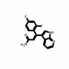 NC(=O)C=C(c1ccc(F)cc1F)c1c[nH]c2ncccc12